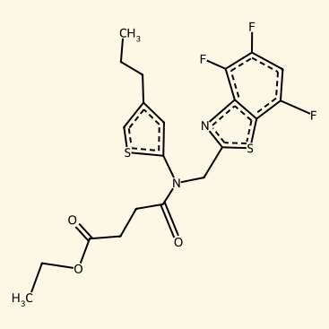 CCCc1csc(N(Cc2nc3c(F)c(F)cc(F)c3s2)C(=O)CCC(=O)OCC)c1